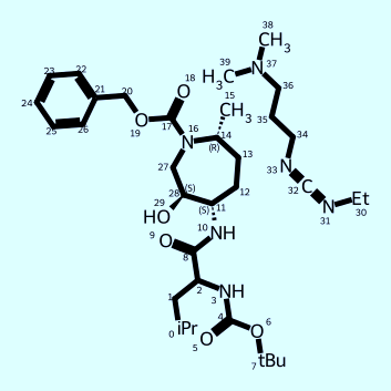 CC(C)CC(NC(=O)OC(C)(C)C)C(=O)N[C@H]1CC[C@@H](C)N(C(=O)OCc2ccccc2)C[C@@H]1O.CCN=C=NCCCN(C)C